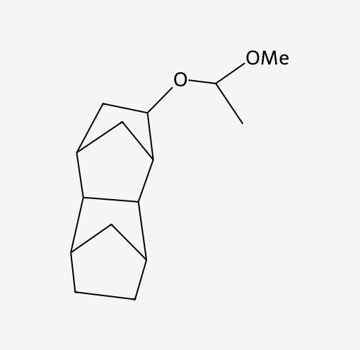 COC(C)OC1CC2CC1C1C3CCC(C3)C21